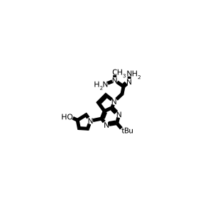 CN(N)/C(Cn1ccc2c(N3CCC(O)C3)nc(C(C)(C)C)nc21)=N\N